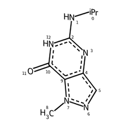 CC(C)Nc1nc2cnn(C)c2c(=O)[nH]1